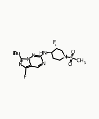 CCC(C)c1nc(F)c2cnc(N[C@@H]3CCN(S(C)(=O)=O)C[C@H]3F)nn12